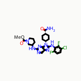 COC(=O)N1CCCC(Nc2ncc3nc(Nc4c(F)ccc(Cl)c4F)n([C@H]4CC[C@@H](C(N)=O)CC4)c3n2)C1